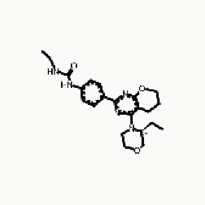 CCNC(=O)Nc1ccc(-c2nc3c(c(N4CCOC[C@@H]4CC)n2)CCCO3)cc1